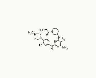 C=CC(=O)N1CCCC(n2cnc3c(N)nc(Nc4ccc(N5CCN(C)CC5)c(F)c4)nc32)C1